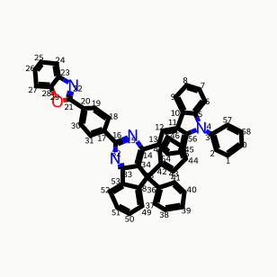 c1ccc(-n2c3ccccc3c3cc(-c4nc(-c5ccc(-c6nc7ccccc7o6)cc5)nc5c4C(c4ccccc4)(c4ccccc4)c4ccccc4-5)ccc32)cc1